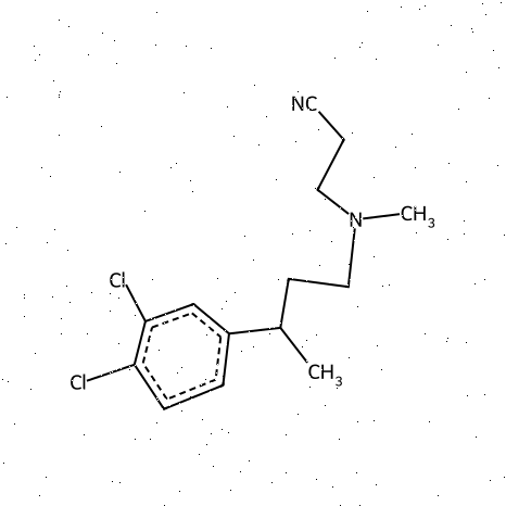 CC(CCN(C)CCC#N)c1ccc(Cl)c(Cl)c1